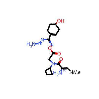 CN/C=C(\N)C(=O)N(CC(=O)ON=C(N=NN)C1=CCC(O)CC1)C1CCC1